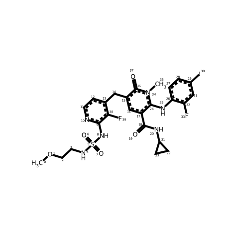 COCCNS(=O)(=O)Nc1nccc(Cc2cc(C(=O)NC3CC3)c(Nc3ccc(I)cc3F)n(C)c2=O)c1F